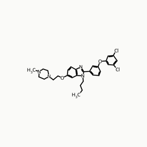 CCCCn1c(-c2cccc(Oc3cc(Cl)cc(Cl)c3)c2)nc2ccc(OCCN3CCN(C)CC3)cc21